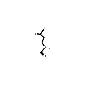 C=C[SiH2]OCC(F)F